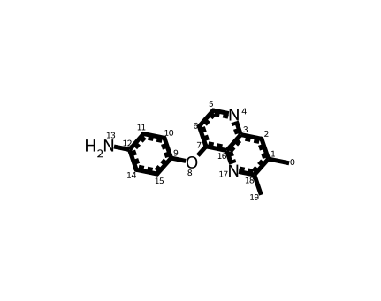 Cc1cc2nccc(Oc3ccc(N)cc3)c2nc1C